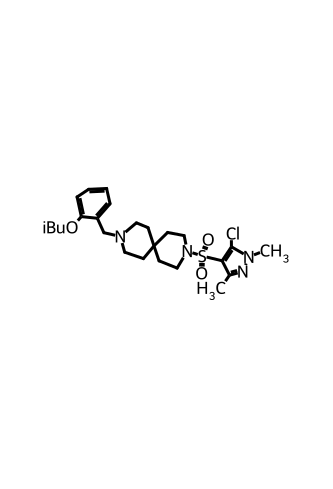 Cc1nn(C)c(Cl)c1S(=O)(=O)N1CCC2(CCN(Cc3ccccc3OCC(C)C)CC2)CC1